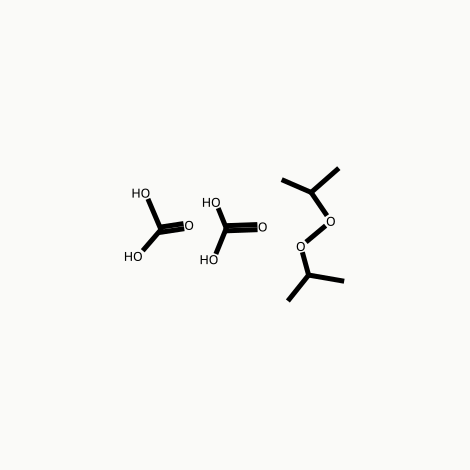 CC(C)OOC(C)C.O=C(O)O.O=C(O)O